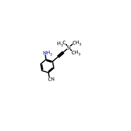 C[Si](C)(C)C#Cc1cc(C#N)ccc1N